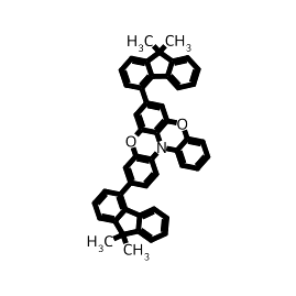 CC1(C)c2ccccc2-c2c(-c3ccc4c(c3)Oc3cc(-c5cccc6c5-c5ccccc5C6(C)C)cc5c3N4c3ccccc3O5)cccc21